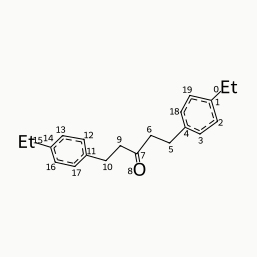 CCc1ccc(CCC(=O)CCc2ccc(CC)cc2)cc1